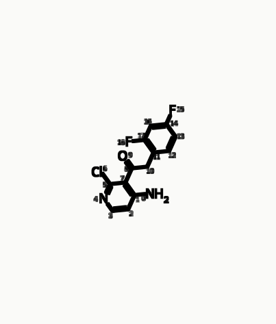 Nc1ccnc(Cl)c1C(=O)Cc1ccc(F)cc1F